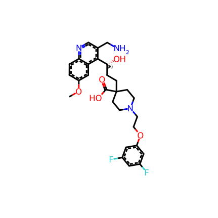 COc1ccc2ncc(CN)c([C@H](O)CCC3(C(=O)O)CCN(CCOc4cc(F)cc(F)c4)CC3)c2c1